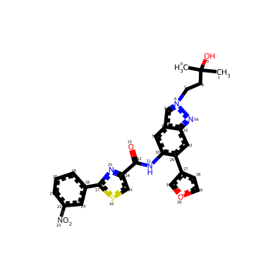 CC(C)(O)CCn1cc2cc(NC(=O)c3csc(-c4cccc([N+](=O)[O-])c4)n3)c(-c3ccoc3)cc2n1